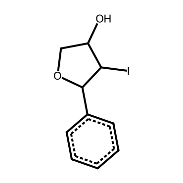 OC1COC(c2ccccc2)C1I